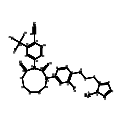 Cn1nccc1CCOc1ccc(N2CCCCCC(=O)N(c3cnc(C#N)c(C(F)(F)F)c3)C2=S)cc1F